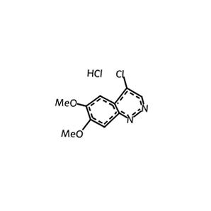 COc1cc2nncc(Cl)c2cc1OC.Cl